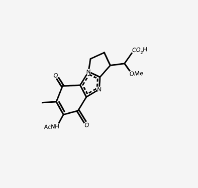 COC(C(=O)O)C1CCn2c1nc1c2C(=O)C(C)=C(NC(C)=O)C1=O